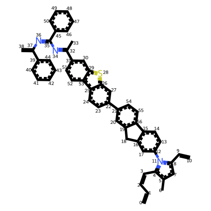 C=C/C=C\c1c(C)cc(C=C)n1-c1ccc2c(c1)Cc1cc(-c3ccc4c(c3)sc3cc(/C(C)=N/C(=N\C(=C)c5ccccc5)c5ccccc5)ccc34)ccc1-2